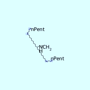 C=CNCC(CCCCCCCC/C=C\C/C=C\CCCCC)CCCCCCCC/C=C\C/C=C\CCCCC